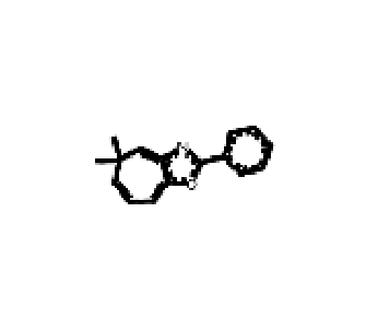 CC1(C)C=CC=c2oc(-c3ccccc3)nc2=C1